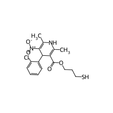 CC1=C(C(=O)OCCCS)C(c2ccccc2Cl)C([N+](=O)[O-])=C(C)N1